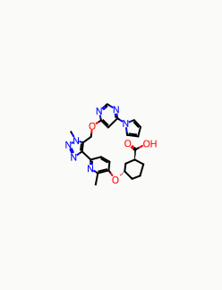 Cc1nc(-c2nnn(C)c2COc2cc(-n3cccc3)ncn2)ccc1O[C@H]1CCC[C@H](C(=O)O)C1